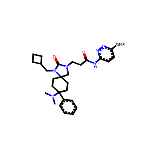 COc1ccc(NC(=O)CCN2CC3(CCC(c4ccccc4)(N(C)C)CC3)N(CC3CCC3)C2=O)nn1